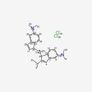 CC(C)C1=Cc2cc(N(C)C)ccc2[CH]1[Zr+2][CH]1C=Cc2cc(N(C)C)ccc21.[Cl-].[Cl-]